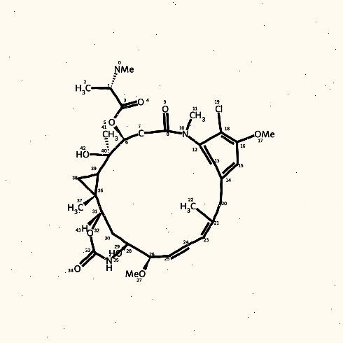 CN[C@@H](C)C(=O)O[C@H]1CC(=O)N(C)c2cc(cc(OC)c2Cl)C/C(C)=C/C=C/[C@@H](OC)[C@@]2(O)C[C@H](OC(=O)N2)[C@]2(C)CC2[C@@]1(C)O